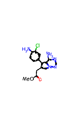 COC(=O)Cc1cn2ncnc(N)c2c1-c1ccc(N)c(Cl)c1